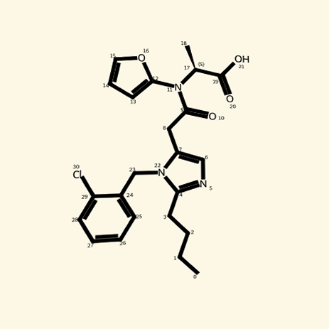 CCCCc1ncc(CC(=O)N(c2ccco2)[C@@H](C)C(=O)O)n1Cc1ccccc1Cl